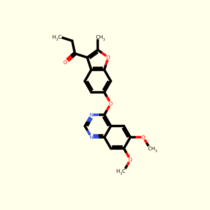 CCC(=O)c1c(C)oc2cc(Oc3ncnc4cc(OC)c(OC)cc34)ccc12